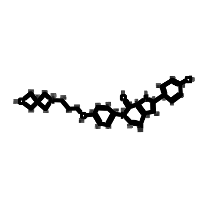 O=c1c2sc(-c3ccc(Cl)cc3)cc2ncn1-c1ccc(OCCCN2CC3(COC3)C2)cc1